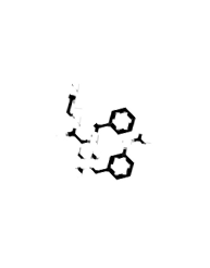 N#CCNC(=O)[C@H](CS(=O)(=O)Cc1cccc(OC(F)F)c1)NC(=O)c1ccccc1